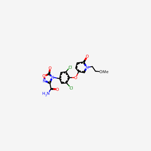 COCCn1cc(Oc2c(Cl)cc(-n3c(C(N)=O)noc3=O)cc2Cl)ccc1=O